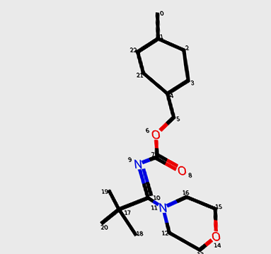 CC1CCC(COC(=O)/N=C(\N2CCOCC2)C(C)(C)C)CC1